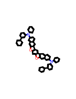 c1ccc(-c2cccc(N(c3ccccc3)c3ccc4cc5c(cc4c3)oc3cc4oc6cc7cc(N(c8ccccc8)c8cccc(-c9ccccc9)c8)ccc7cc6c4cc35)c2)cc1